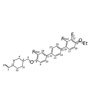 C=CC1CCC(COc2ccc(-c3ccc(-c4ccc(OCC)c(F)c4F)cc3)cc2F)CC1